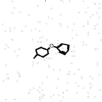 CC1CCC(Oc2[c]cccc2)CC1